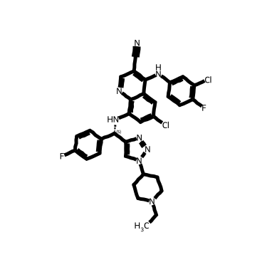 CCN1CCC(n2cc([C@@H](Nc3cc(Cl)cc4c(Nc5ccc(F)c(Cl)c5)c(C#N)cnc34)c3ccc(F)cc3)nn2)CC1